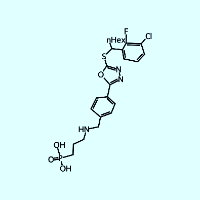 CCCCCCC(Sc1nnc(-c2ccc(CNCCCP(=O)(O)O)cc2)o1)c1cccc(Cl)c1F